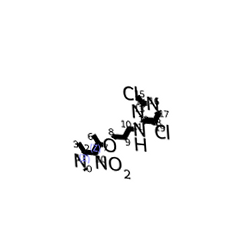 C/N=C(C)\C(=C(/C)OCCCNc1nc(Cl)ncc1Cl)[N+](=O)[O-]